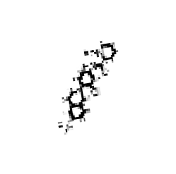 CC(=O)N1CCCC[C@@H]1C(=O)Nc1ccc(N2CCc3cc(C(F)(F)F)ccc3C2)c(Cl)c1